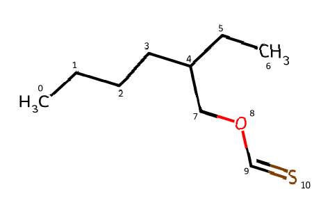 CCCCC(CC)COC=S